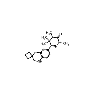 CC1C(=O)N(C)N=C(c2ccc3c(c2)CC2(CCC2)CN3)C1(C)C